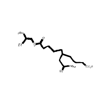 CCCCC(CC)COC(=O)CCCCC(CCCC(=O)O)CC(CC)CCCC